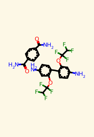 NC(=O)c1ccc(C(N)=O)cc1.Nc1ccc(-c2ccc(N)cc2OC(F)(F)C(F)F)c(OC(F)(F)C(F)F)c1